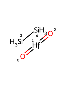 [O]=[Hf]=[O].[SiH3][SiH3]